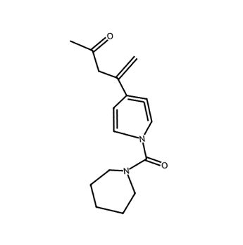 C=C(CC(C)=O)C1=C=CN(C(=O)N2CCCCC2)C=C1